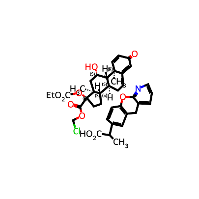 CC(C(=O)O)c1ccc2c(c1)Cc1cccnc1O2.CCOC(=O)O[C@]1(C(=O)OCCl)CC[C@H]2[C@@H]3CCC4=CC(=O)C=C[C@]4(C)[C@H]3[C@@H](O)C[C@@]21C